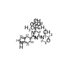 C[C@H]1COCCN1c1cc(C(C)(C)S(C)(=O)=O)nc(-c2ccc3[nH]ccc3c2)n1